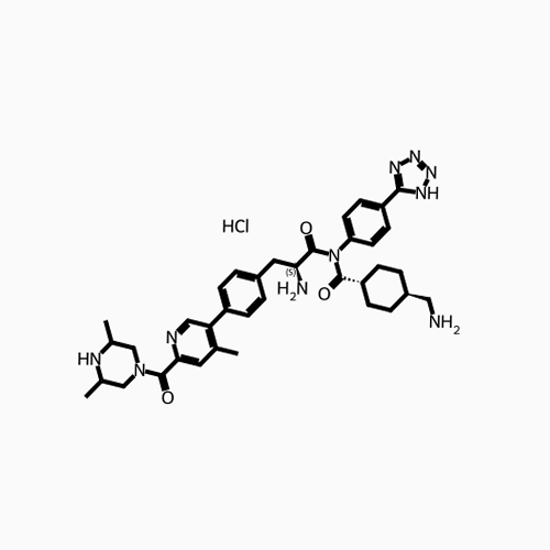 Cc1cc(C(=O)N2CC(C)NC(C)C2)ncc1-c1ccc(C[C@H](N)C(=O)N(c2ccc(-c3nnn[nH]3)cc2)C(=O)[C@H]2CC[C@H](CN)CC2)cc1.Cl